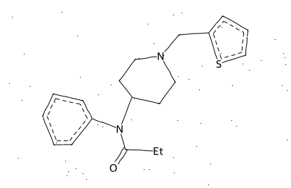 CCC(=O)N(c1ccccc1)C1CCN(Cc2cccs2)CC1